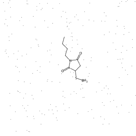 BSC1CC(=O)N(CCCC)C1=O